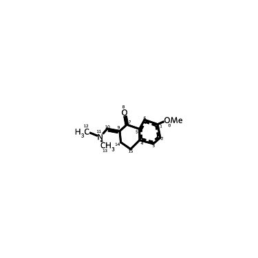 COc1ccc2c(c1)C(=O)C(=CN(C)C)CC2